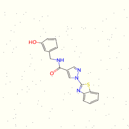 O=C(NCc1cccc(O)c1)c1cnn(-c2nc3ccccc3s2)c1